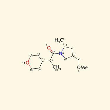 COCC1C[C@@H](C)N(C(=O)C(C)C2CCOCC2)C1